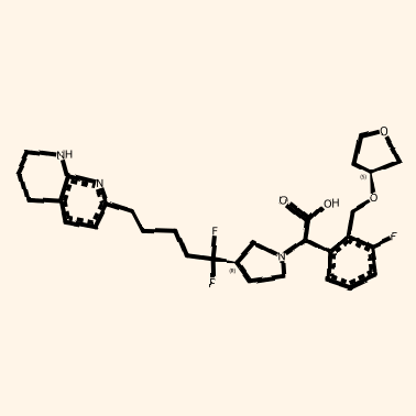 O=C(O)C(c1cccc(F)c1CO[C@H]1CCOC1)N1CC[C@@H](C(F)(F)CCCCc2ccc3c(n2)NCCC3)C1